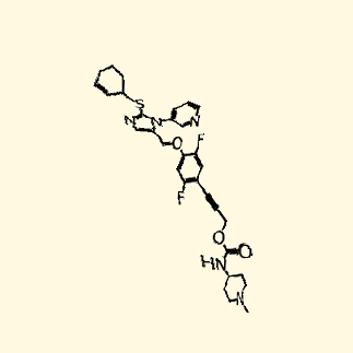 CN1CCC(NC(=O)OCC#Cc2cc(F)c(OCc3cnc(SC4C=CCCC4)n3-c3cccnc3)cc2F)CC1